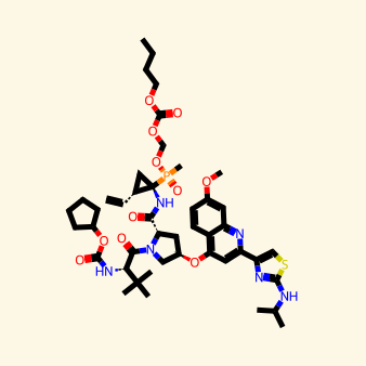 C=C[C@@H]1C[C@]1(NC(=O)[C@@H]1C[C@@H](Oc2cc(-c3csc(NC(C)C)n3)nc3cc(OC)ccc23)CN1C(=O)[C@@H](NC(=O)OC1CCCC1)C(C)(C)C)P(C)(=O)OCOC(=O)OCCCC